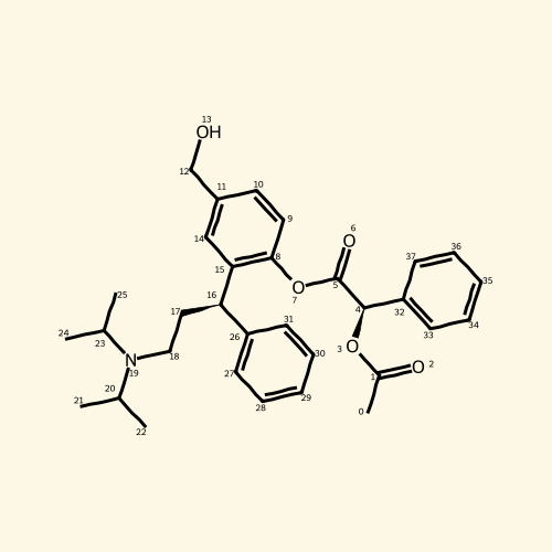 CC(=O)O[C@@H](C(=O)Oc1ccc(CO)cc1[C@H](CCN(C(C)C)C(C)C)c1ccccc1)c1ccccc1